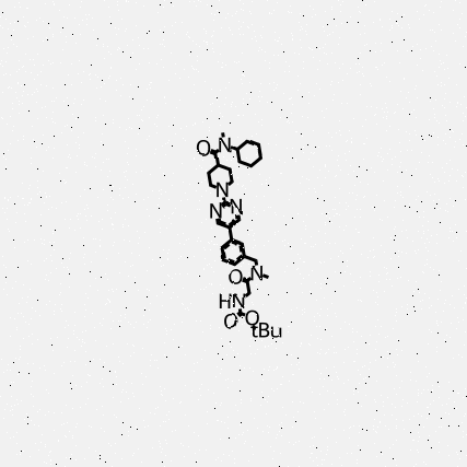 CN(Cc1cccc(-c2cnc(N3CCC(C(=O)N(C)C4CCCCC4)CC3)nc2)c1)C(=O)CNC(=O)OC(C)(C)C